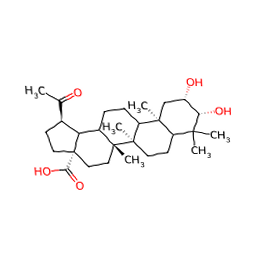 CC(=O)[C@@H]1CC[C@]2(C(=O)O)CC[C@]3(C)C(CCC4[C@@]5(C)C[C@H](O)[C@H](O)C(C)(C)C5CC[C@]43C)C12